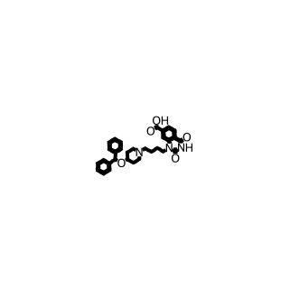 O=C(O)c1ccc2c(=O)[nH]c(=O)n(CCCCN3CCC(OC(c4ccccc4)c4ccccc4)CC3)c2c1